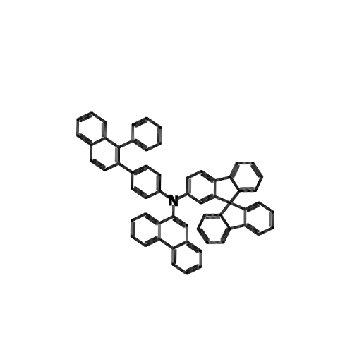 c1ccc(-c2c(-c3ccc(N(c4ccc5c(c4)C4(c6ccccc6-c6ccccc64)c4ccccc4-5)c4cc5ccccc5c5ccccc45)cc3)ccc3ccccc23)cc1